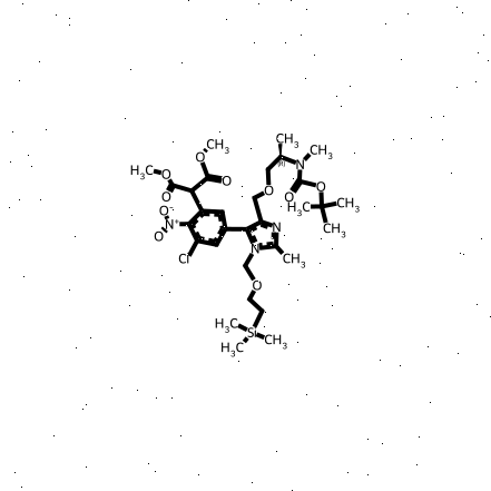 COC(=O)C(C(=O)OC)c1cc(-c2c(COC[C@@H](C)N(C)C(=O)OC(C)(C)C)nc(C)n2COCC[Si](C)(C)C)cc(Cl)c1[N+](=O)[O-]